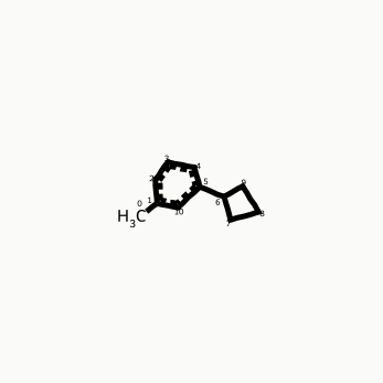 Cc1cccc(C2CCC2)c1